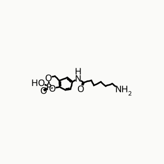 NCCCCCC(=O)Nc1ccc2c(c1)COP(=O)(O)O2